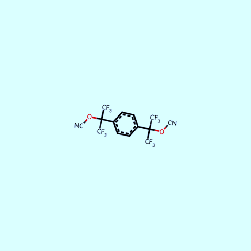 N#COC(c1ccc(C(OC#N)(C(F)(F)F)C(F)(F)F)cc1)(C(F)(F)F)C(F)(F)F